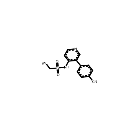 CC(C)CS(=O)(=O)Nc1ccncc1-c1ccc(C#N)cc1